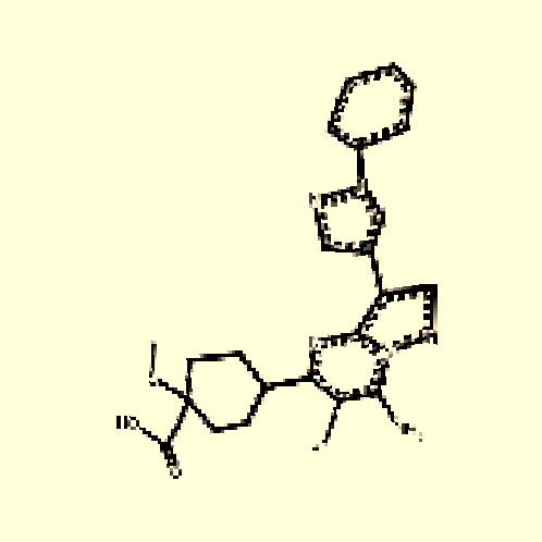 CSC1(C(=O)O)CCC(c2nc3c(-c4cnn(-c5ccccc5)c4)cnn3c(N)c2Br)CC1